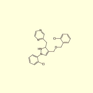 Clc1ccccc1COCC1=CN(c2ccccc2Cl)NC1Cc1cnccn1